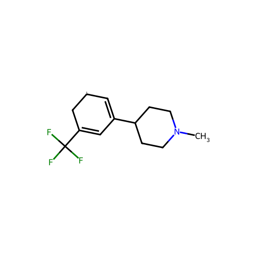 CN1CCC(C2=C[CH]CC(C(F)(F)F)=C2)CC1